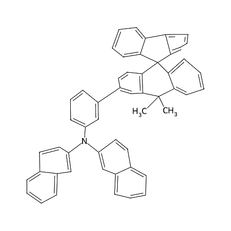 CC1(C)c2ccccc2C2(c3ccccc3-c3ccccc32)c2ccc(-c3cccc(N(c4ccc5ccccc5c4)c4ccc5ccccc5c4)c3)cc21